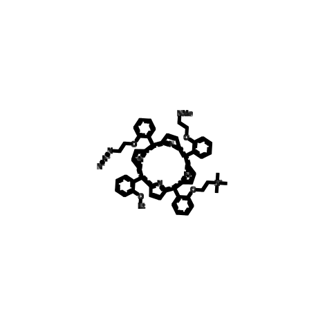 CCOc1ccccc1-c1c2nc(c(-c3ccccc3OCC[N+](C)(C)C)c3ccc([nH]3)c(-c3ccccc3OCCNC)c3nc(c(-c4ccccc4OCCN=[N+]=[N-])c4ccc1[nH]4)C=C3)C=C2